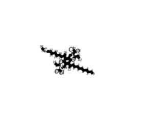 CCCCCCCCCCC(C)C1=C(CN(CCC)C(=O)Cl)C(=O)C(C(C)CCCCCCCCCC)=C(CN(CCC)C(=O)Cl)C1=O